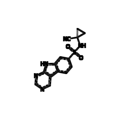 N#CC1(NS(=O)(=O)c2ccc3c(c2)[nH]c2ncncc23)CC1